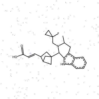 CC1Cc2c([nH]c3ccccc23)C(C23CC(/C=C/C(=O)O)C(C2)C3)N1CC1(F)CC1